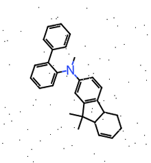 CN(c1ccc2c(c1)C(C)(C)C1C=CCCC21)c1ccccc1-c1ccccc1